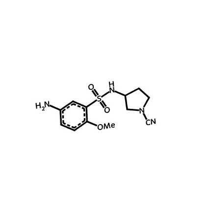 COc1ccc(N)cc1S(=O)(=O)NC1CCN(C#N)C1